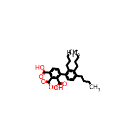 CCCCc1ccc(-c2ccc(C(=O)O)c(C(=O)O)c2C(=O)O)c(CCCC)c1CCCC